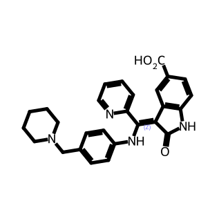 O=C1Nc2ccc(C(=O)O)cc2/C1=C(/Nc1ccc(CN2CCCCC2)cc1)c1ccccn1